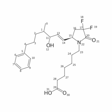 CC(CCCc1ccccc1)C(O)/C=C/[C@H]1CC(F)(F)C(=O)N1CCCCCCC(=O)O